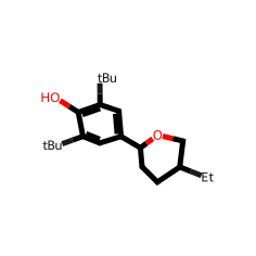 CCC1CCC(c2cc(C(C)(C)C)c(O)c(C(C)(C)C)c2)OC1